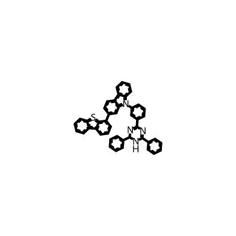 c1ccc(C2=NC(c3cccc(-n4c5ccccc5c5ccc(-c6cccc7c6sc6ccccc67)cc54)c3)=NC(c3ccccc3)N2)cc1